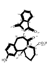 Nc1ccc2c(c1)[C@H]1CCC[C@@H](C(=O)O)N1C(=O)[C@@H](N1C(=O)c3ccccc3C1=O)C2